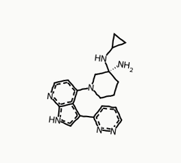 N[C@]1(NC2CC2)CCCN(c2ccnc3[nH]cc(-c4cccnn4)c23)C1